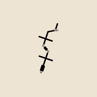 CNCC(C)(C)N=NC(C)(C)C#N